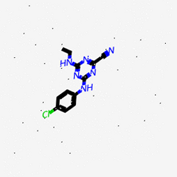 CCNc1nc(C#N)nc(Nc2ccc(Cl)cc2)n1